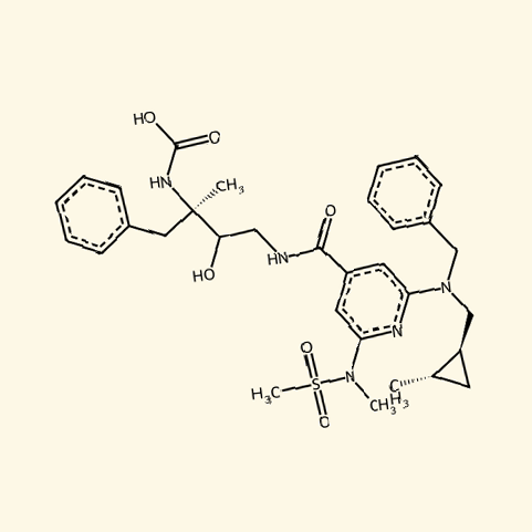 C[C@H]1C[C@@H]1CN(Cc1ccccc1)c1cc(C(=O)NCC(O)[C@@](C)(Cc2ccccc2)NC(=O)O)cc(N(C)S(C)(=O)=O)n1